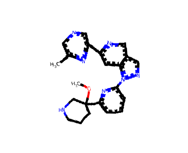 COC1(c2cccc(-n3ncc4cnc(-c5cncc(C)n5)cc43)n2)CCCNC1